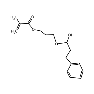 C=C(C)C(=O)OCCCOC(O)CCc1ccccc1